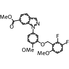 COC(=O)c1ccc2cnn(-c3ccc(OC)c(OCc4c(OC)ccc(F)c4F)c3)c2c1